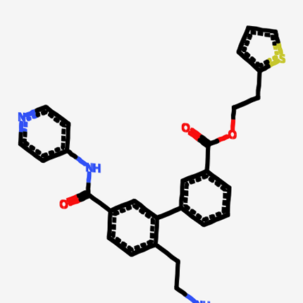 NCCc1ccc(C(=O)Nc2ccncc2)cc1-c1cccc(C(=O)OCCc2cccs2)c1